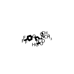 CON(C)C(=O)[C@@H]1C[C@@H](Oc2ccc(C(F)(F)F)cc2)CN1C(=O)O